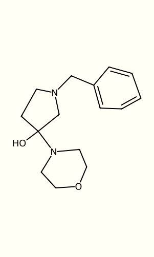 OC1(N2CCOCC2)CCN(Cc2ccccc2)C1